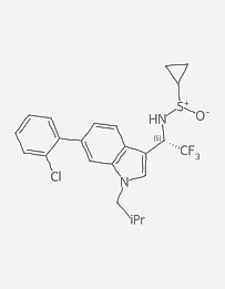 CC(C)Cn1cc([C@H](N[S+]([O-])C2CC2)C(F)(F)F)c2ccc(-c3ccccc3Cl)cc21